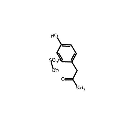 NC(=O)Cc1ccc(O)cc1.O=S(=O)(O)O